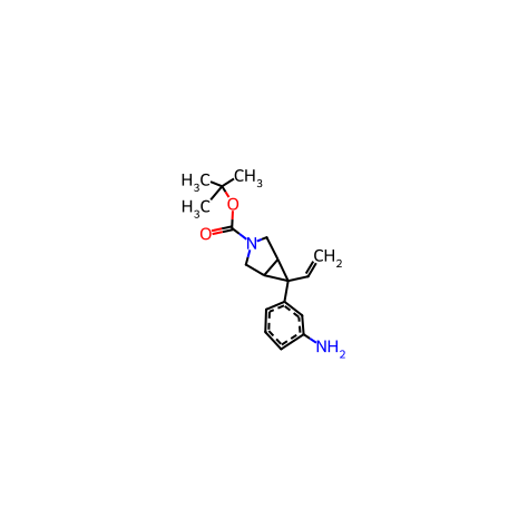 C=CC1(c2cccc(N)c2)C2CN(C(=O)OC(C)(C)C)CC21